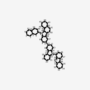 c1ccc2cc(-n3c4ccc(-c5ccc6c(c5)c5ccccc5n6-c5cccc6c5sc5ccccc56)cc4c4ccc5ccccc5c43)ccc2c1